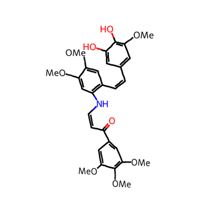 COc1cc(/C=C\c2cc(O)c(O)c(OC)c2)c(N/C=C\C(=O)c2cc(OC)c(OC)c(OC)c2)cc1OC